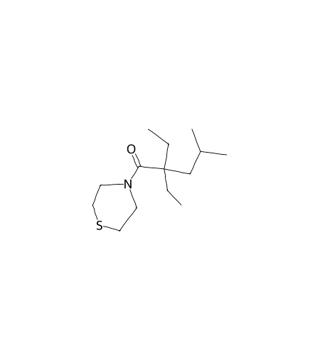 CCC(CC)(CC(C)C)C(=O)N1CCSCC1